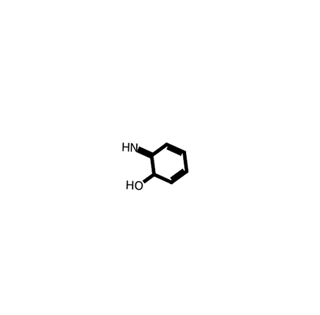 N=C1C=CC=CC1O